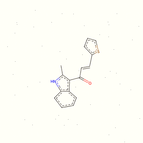 Cc1[nH]c2ccccc2c1C(=O)/C=C/c1cccs1